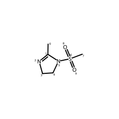 CC1=NCCN1S(C)(=O)=O